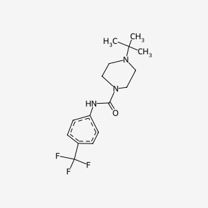 CC(C)(C)N1CCN(C(=O)Nc2ccc(C(F)(F)F)cc2)CC1